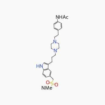 CNS(=O)(=O)Cc1ccc2[nH]cc(CCCN3CCN(CCc4ccc(NC(C)=O)cc4)CC3)c2c1